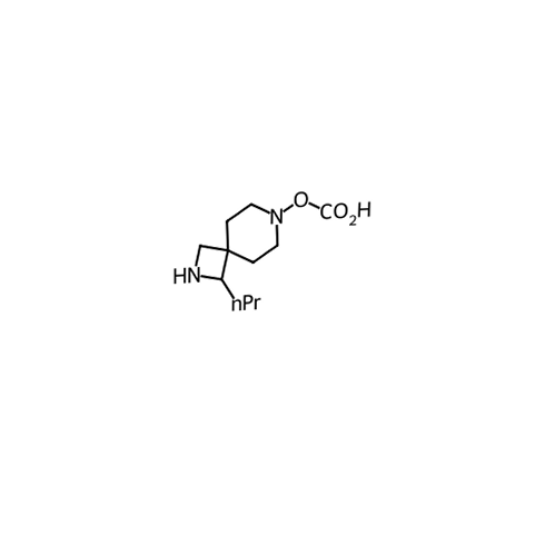 CCCC1NCC12CCN(OC(=O)O)CC2